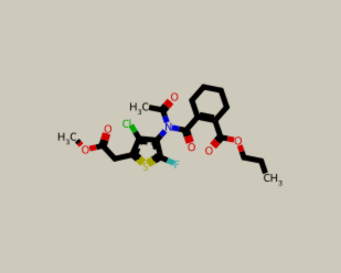 CCCOC(=O)C1=C(C(=O)N(C(C)=O)c2c(F)sc(CC(=O)OC)c2Cl)CCCC1